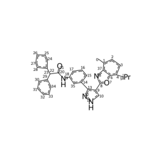 Cc1ccc(C(C)C)c2oc(-c3c[nH]nc3-c3cccc(NC(=O)C(c4ccccc4)c4ccccc4)c3)nc12